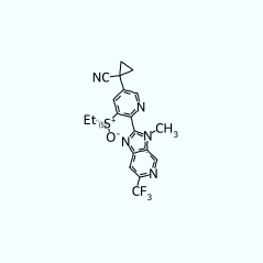 CC[S@@+]([O-])c1cc(C2(C#N)CC2)cnc1-c1nc2cc(C(F)(F)F)ncc2n1C